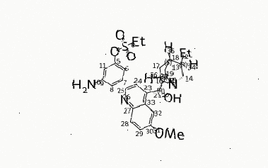 CCS(=O)(=O)Oc1cccc(N)c1.CC[C@H]1C[N@]2CC[C@H]1C[C@H]2[C@H](O)c1ccnc2ccc(OC)cc12